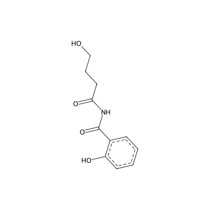 O=C(CCCO)NC(=O)c1ccccc1O